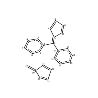 C1=CC(=C(c2ccccc2)c2ccccc2)C=C1.C=C1C=CC=C1